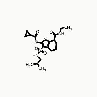 CCNC(=O)C1CCCc2c1sc(NC(=O)C1CC1)c2S(=O)(=O)NCC(C)C